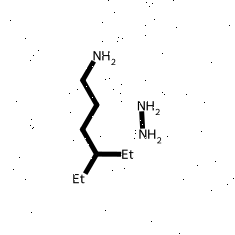 CCC(CC)CCCN.NN